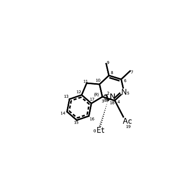 CC[C@@H]1C[C@@]23C(=NC(C)=C(C)C2Cc2ccccc23)N1C(C)=O